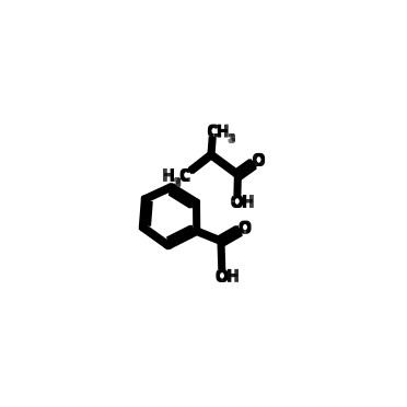 CC(C)C(=O)O.O=C(O)c1ccccc1